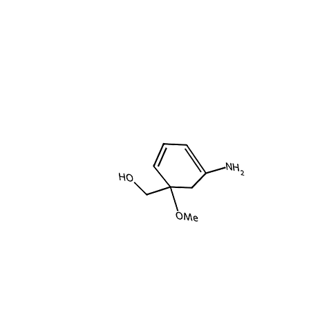 COC1(CO)C=CC=C(N)C1